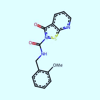 COc1ccccc1CNC(=O)n1sc2ncccc2c1=O